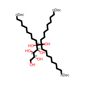 CCCCCCCCCCCCCCCCCCC(O)(CCCCCCCCCCCCCCCCCC)[C@@](O)(CCCCCCCCCCCCCCCCCC)[C@@H](O)[C@H](O)[C@H](O)CO